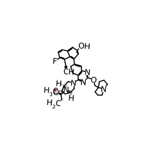 C#Cc1c(F)ccc2cc(O)cc(C3=Cc4nc(OCC56CCCN5CCC6)nc(N5C[C@H]6C[C@H](C)[C@@H](C5)N6C(=O)C=C)c4CC3)c12